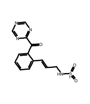 O=C(c1ncncn1)c1ccccc1C=CCN[SH](=O)=O